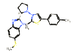 CSc1ccc2nc([C@@H]3CCCN3N3[C]=C(c4ccc(C)cc4)SC3C)[nH]c2c1